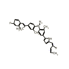 C/C=C\C(F)=C/c1ccc(-c2ccc(N(C)c3ccc(/C(C)=C/c4ccc(F)cc4C)cc3C)c(C)c2)[nH]1